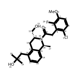 COc1ccc(Cl)c(CC(=O)N2[C@@H](CO)Cc3c(CC(C)(C)O)cccc3[C@@H]2C)c1F